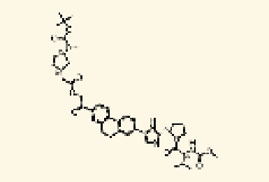 COC(=O)N[C@H](C(=O)N1CCC[C@H]1c1ncc(-c2ccc3c(c2)CCc2cc(C(=O)COC(=O)C[C@H]4CC[C@@H](N(C)C(=O)OC(C)(C)C)C4)ccc2-3)[nH]1)C(C)C